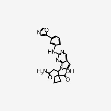 NC(=O)CC(n1ccc2cnc(Nc3cccc(-c4cnco4)c3)nc21)C1(C(=O)O)CCC1